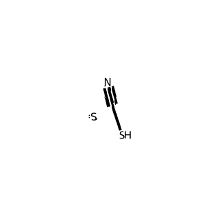 N#CS.[S]